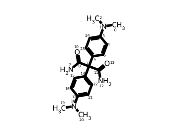 CN(C)c1ccc(C(C(N)=O)(C(N)=O)c2ccc(N(C)C)cc2)cc1